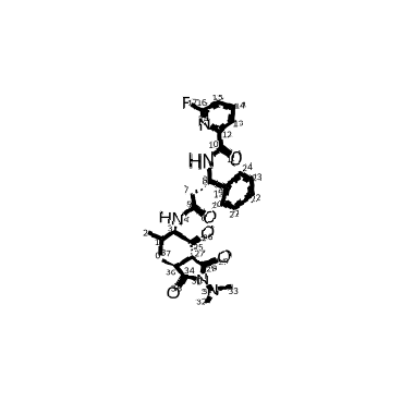 CC(C)[C@H](NC(=O)C[C@H](NC(=O)c1cccc(F)n1)c1ccccc1)C(=O)[C@@H]1C(=O)N(N(C)C)C(=O)[C@H]1C